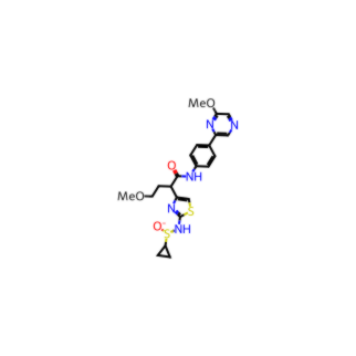 COCCC(C(=O)Nc1ccc(-c2cncc(OC)n2)cc1)c1csc(N[S+]([O-])C2CC2)n1